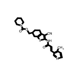 Cc1ccncc1C=CC(=O)Nc1sc2c(c1C#N)CCC(COC(=O)N1CCCCC1)C2